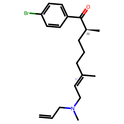 C=CCN(C)C/C=C(\C)CCC[C@H](C)C(=O)c1ccc(Br)cc1